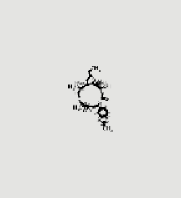 CCCC[C@H]1C(=O)C(C)(C)[C@@H](O)CC(=O)O[C@H](c2ccc3sc(C)nc3c2)C[C@@H]2O[C@]2(C)CCC[C@H](C)[C@@H]1O